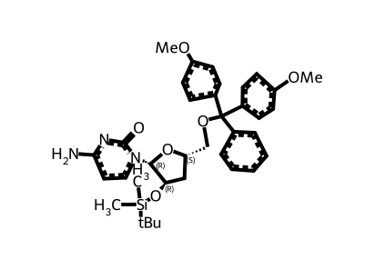 COc1ccc(C(OC[C@@H]2C[C@@H](O[Si](C)(C)C(C)(C)C)[C@H](n3ccc(N)nc3=O)O2)(c2ccccc2)c2ccc(OC)cc2)cc1